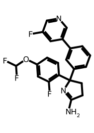 NC1=NC(c2cccc(-c3cncc(F)c3)c2)(c2ccc(OC(F)F)cc2F)CC1